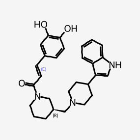 O=C(/C=C/c1ccc(O)c(O)c1)N1CCC[C@H](CN2CCC(c3c[nH]c4ccccc34)CC2)C1